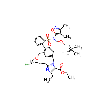 CCCc1nc(CC)c(C(=O)OCC)n1Cc1ccc(-c2ccccc2S(=O)(=O)N(COCC[Si](C)(C)C)c2onc(C)c2C)c(COCCF)c1